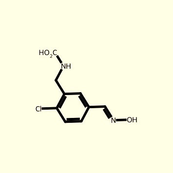 O=C(O)NCc1cc(C=NO)ccc1Cl